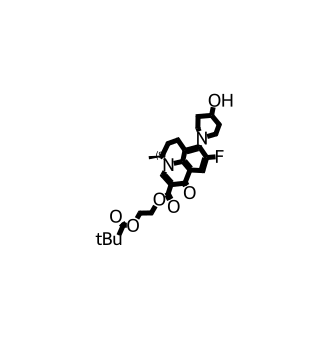 C[C@H]1CCc2c(N3CCC(O)CC3)c(F)cc3c(=O)c(C(=O)OCCOC(=O)C(C)(C)C)cn1c23